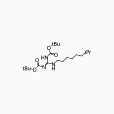 CC(C)CCCCCCN/C(=N/C(=O)OC(C)(C)C)NC(=O)OC(C)(C)C